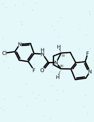 O=C(Nc1cnc(Cl)cc1F)N1[C@H]2CC[C@@H]1c1ccnc(F)c1C2